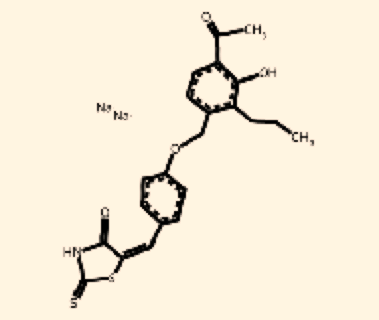 CCCc1c(COc2ccc(C=C3SC(=S)NC3=O)cc2)ccc(C(C)=O)c1O.[Na].[Na]